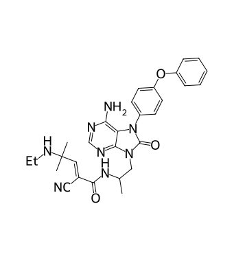 CCNC(C)(C)C=C(C#N)C(=O)NC(C)Cn1c(=O)n(-c2ccc(Oc3ccccc3)cc2)c2c(N)ncnc21